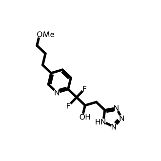 COCCCc1ccc(C(F)(F)C(O)Cc2nnn[nH]2)nc1